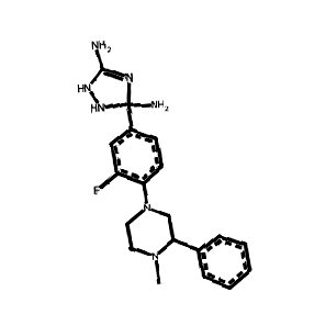 CN1CCN(c2ccc(C3(N)N=C(N)NN3)cc2F)CC1c1ccccc1